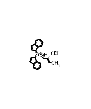 CC=CC[SiH2][Zr+2]([CH]1C=Cc2ccccc21)[CH]1C=Cc2ccccc21.[Cl-].[Cl-]